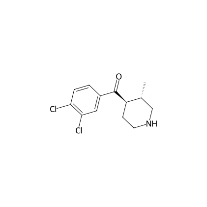 C[C@@H]1CNCC[C@H]1C(=O)c1ccc(Cl)c(Cl)c1